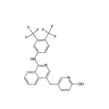 Oc1ccc(Cc2cnc(Nc3ccc(C(F)(F)F)c(C(F)(F)F)c3)c3ccccc23)cn1